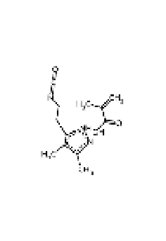 C=C(C)C(=O)O.Cc1n[nH]c(CCN=C=O)c1C